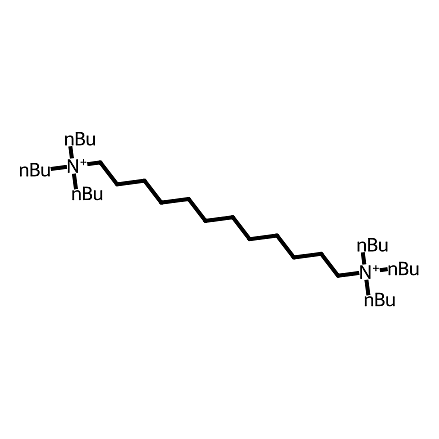 CCCC[N+](CCCC)(CCCC)CCCCCCCCCCCC[N+](CCCC)(CCCC)CCCC